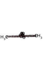 CCCCCC=CCC=CCC=CCC=CCCCC(=O)OC(COC(=O)CCCCCCCCCCCCCCCCC)COP(=O)=O